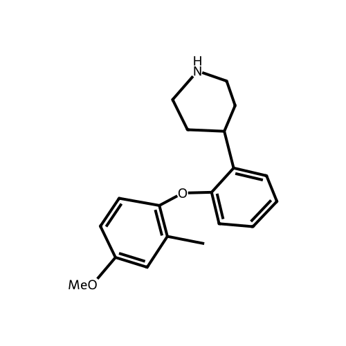 COc1ccc(Oc2ccccc2C2CCNCC2)c(C)c1